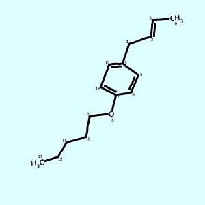 CC=CCc1ccc(OCCCCC)cc1